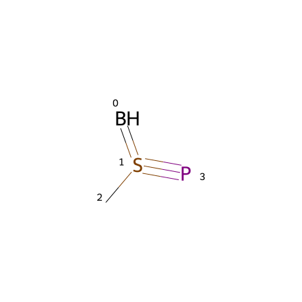 B=S(C)#P